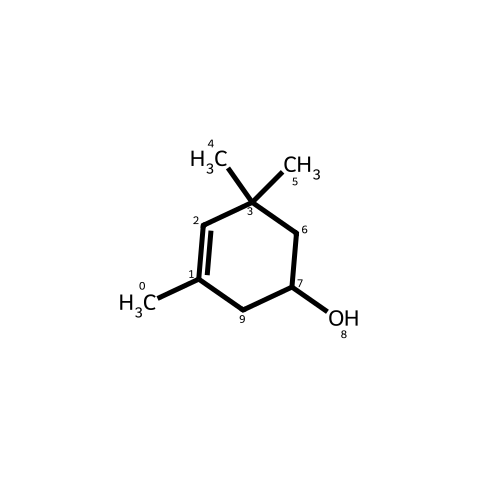 CC1=CC(C)(C)CC(O)C1